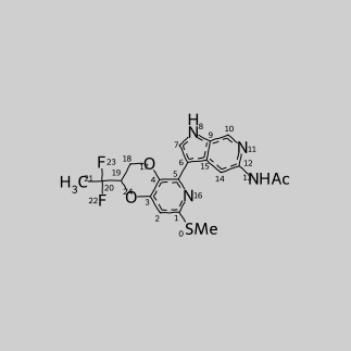 CSc1cc2c(c(-c3c[nH]c4cnc(NC(C)=O)cc34)n1)OCC(C(C)(F)F)O2